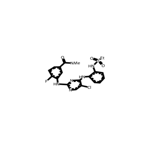 CCS(=O)(=O)Nc1ccccc1Nc1nc(Nc2cc(C(=O)NC)ccc2F)ncc1Cl